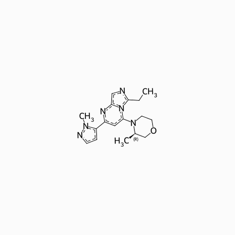 CCc1ncc2nc(-c3ccnn3C)cc(N3CCOC[C@H]3C)n12